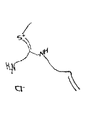 C=CCN/C(N)=[S+]\C.[Cl-]